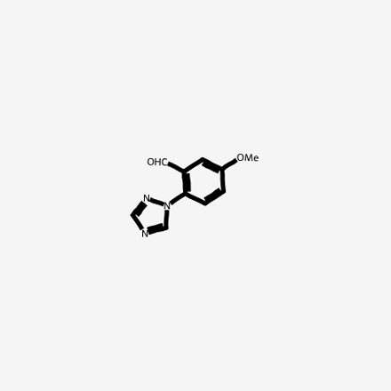 COc1ccc(-n2cncn2)c(C=O)c1